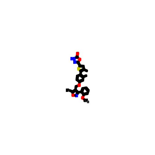 Cc1cc(OCc2c(-c3ccccc3OC(F)(F)F)noc2C(C)C)ccc1-c1sc(-c2n[nH]c(=O)o2)cc1C